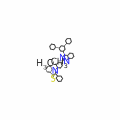 CC1(C)c2cc(-c3nc(-c4cc(-c5ccccc5)cc(-c5ccccc5)c4)c4ccccc4n3)ccc2N2c3c(sc4ccccc34)C3=CC=CC1C32